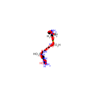 CCCCc1nc2c(N)nc3ccccc3c2n1CC(C)(C)COC(=O)OCCSSC[C@H](NC(=O)CCOCCOCCOCCNC(=O)CC[C@H](NC(=O)c1ccc(NCc2cnc3c(n2)C(O)NC(N)=N3)cc1)C(=O)O)C(=O)O